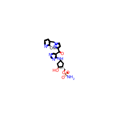 COc1ncccc1Cn1ccc(C(=O)c2cncnc2N[C@@H]2C[C@H](COS(N)(=O)=O)[C@@H](O)C2)n1